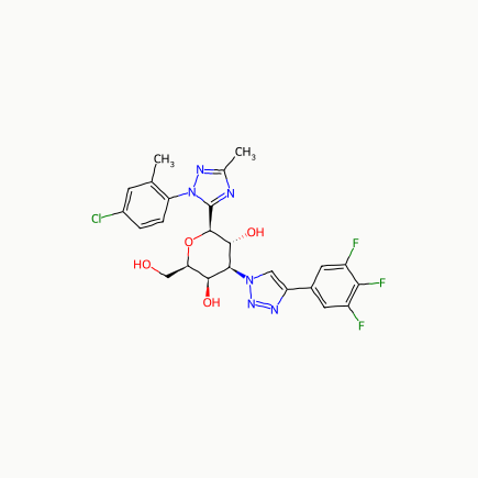 Cc1nc([C@@H]2O[C@H](CO)[C@H](O)[C@H](n3cc(-c4cc(F)c(F)c(F)c4)nn3)[C@H]2O)n(-c2ccc(Cl)cc2C)n1